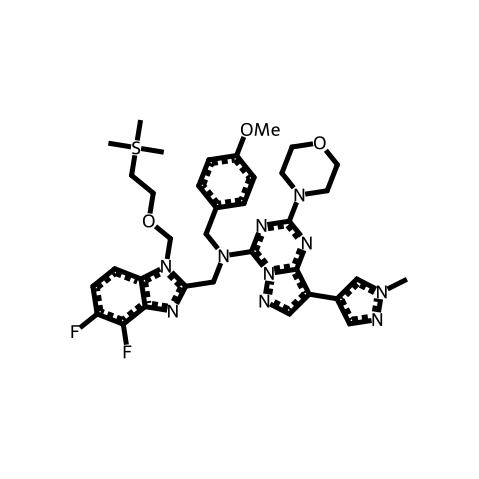 COc1ccc(CN(Cc2nc3c(F)c(F)ccc3n2COCCS(C)(C)C)c2nc(N3CCOCC3)nc3c(-c4cnn(C)c4)cnn23)cc1